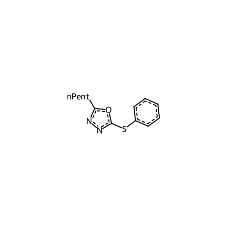 CCCCCc1nnc(Sc2ccccc2)o1